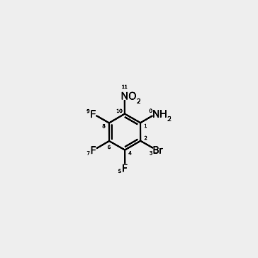 Nc1c(Br)c(F)c(F)c(F)c1[N+](=O)[O-]